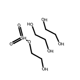 O=[SH](=O)OCCO.OCCO.OCCO